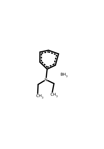 B.CCN(CC)c1ccccc1